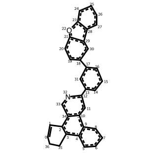 C1=Cc2c(c3ccccc3c3cc(-c4cccc(-c5ccc6oc7ccccc7c6c5)c4)ncc23)CC1